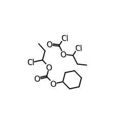 CCC(Cl)OC(=O)Cl.CCC(Cl)OC(=O)OC1CCCCC1